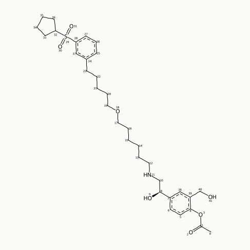 CC(=O)Oc1ccc([C@@H](O)CNCCCCCCOCCCCCc2cccc(S(=O)(=O)C3CCCC3)c2)cc1CO